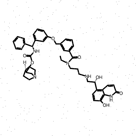 CCN(CCCNC[C@H](O)c1ccc(O)c2[nH]c(=O)ccc12)C(=O)c1cccc(COc2cccc([C@@H](NC(=O)O[C@H]3CN4CCC3CC4)c3ccccc3)c2)c1